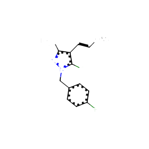 COC=Cc1c(C(=O)O)nn(Cc2ccc(F)cc2)c1Cl